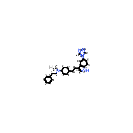 CN(CCc1ccccc1)C1CCC(CCc2c[nH]c3ccc(-n4cnnc4)cc23)CC1